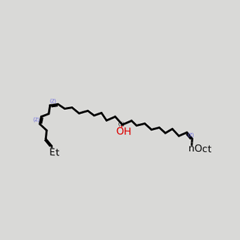 CCC=CC/C=C\C/C=C\CCCCCCCC[C@@H](O)CCCCCCCC/C=C\CCCCCCCC